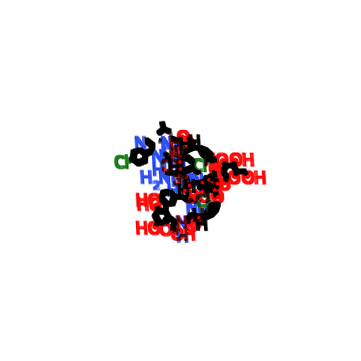 CN[C@H](CC(C)C)C(=O)N[C@H]1C(=O)N[C@@H](CC(N)=O)C(=O)N[C@H]2C(=O)N[C@H]3C(=O)N[C@H](C(=O)NC(C(=O)O)c4cc(O)cc(O)c4-c4cc3ccc4O)[C@H](O)c3ccc(c(Cl)c3)Oc3cc2cc(c3OC2OC(CO)C(O)C(O)C2OC2CC(C)(NCc3ccc(OCCNc4ccnc5cc(Cl)ccc45)cc3)C(O)C(C)O2)Oc2ccc(cc2Cl)[C@H]1O